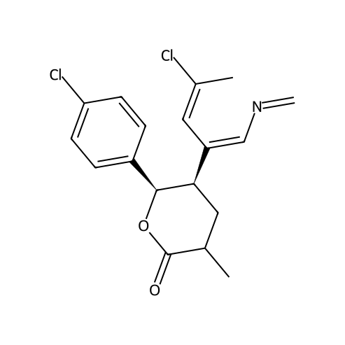 C=N/C=C(\C=C(/C)Cl)[C@H]1CC(C)C(=O)O[C@H]1c1ccc(Cl)cc1